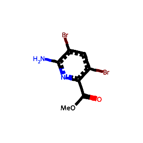 COC(=O)c1nc(N)c(Br)cc1Br